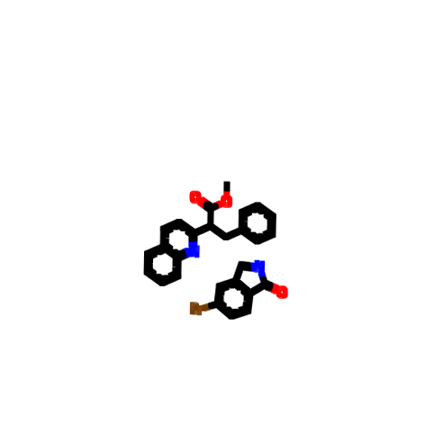 COC(=O)C(Cc1ccccc1)c1ccc2ccccc2n1.O=C1N=Cc2cc(Br)ccc21